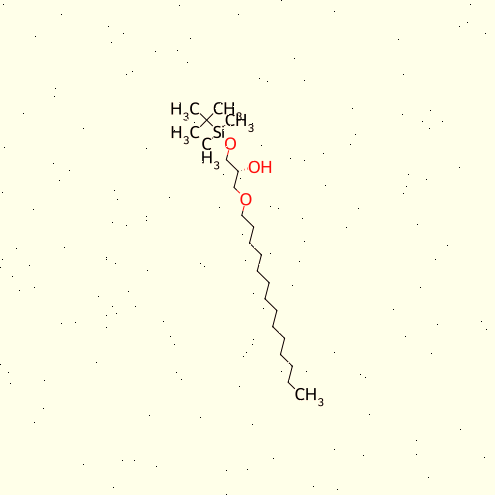 CCCCCCCCCCCCCCOC[C@@H](O)CO[Si](C)(C)C(C)(C)C